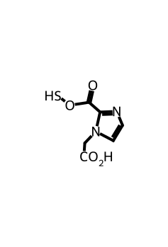 O=C(O)Cn1ccnc1C(=O)OS